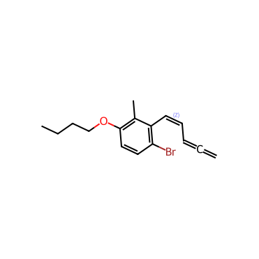 C=C=C/C=C\c1c(Br)ccc(OCCCC)c1C